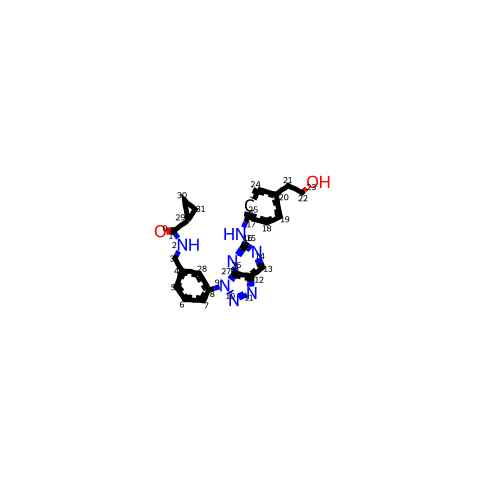 O=C(NCc1cccc(-n2nnc3cnc(Nc4ccc(CCO)cc4)nc32)c1)C1CC1